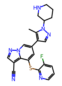 Cc1c(-c2cc(Sc3ncccc3F)c3c(C#N)cnn3c2)cnn1C1CCCNC1